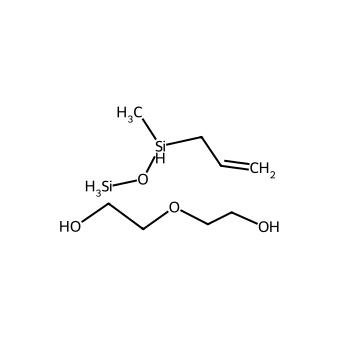 C=CC[SiH](C)O[SiH3].OCCOCCO